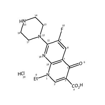 CCn1cc(C(=O)O)c(=O)c2cc(F)c(N3CCNCC3)nc21.Cl